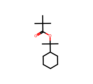 CC(C)(C)C(=O)OC(C)(C)C1CCCCC1